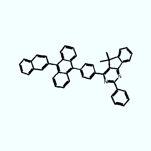 CC1(C)c2ccccc2-c2nc(-c3ccccc3)nc(-c3ccc(-c4c5ccccc5c(-c5ccc6ccccc6c5)c5ccccc45)cc3)c21